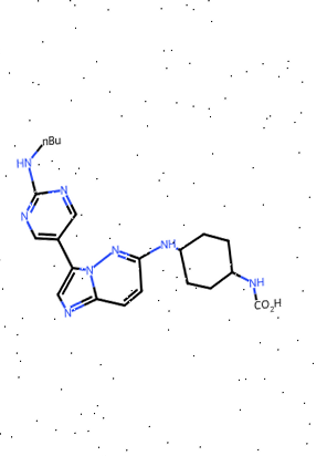 CCCCNc1ncc(-c2cnc3ccc(NC4CCC(NC(=O)O)CC4)nn23)cn1